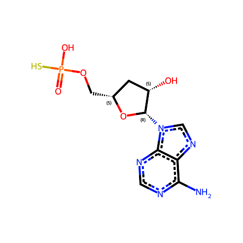 Nc1ncnc2c1ncn2[C@@H]1O[C@H](COP(=O)(O)S)C[C@@H]1O